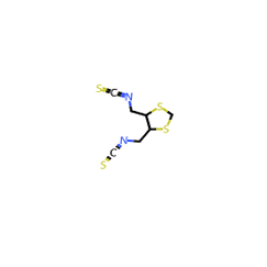 S=C=NCC1SCSC1CN=C=S